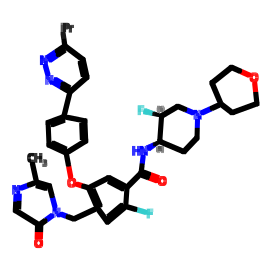 Cc1cn(Cc2cc(F)c(C(=O)N[C@@H]3CCN(C4CCOCC4)C[C@@H]3F)cc2Oc2ccc(-c3ccc(C(C)C)nn3)cc2)c(=O)cn1